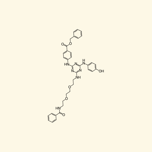 O=C(NCCOCCOCCNc1nc(Nc2ccc(O)cc2)nc(Nc2ccc(C(=O)OCc3ccccc3)cc2)n1)c1ccccc1